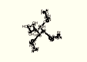 N#C[C@@H]1CC(F)(F)CN1C(=O)CNC(=O)c1ccnc2ccc(OCCCCNC(=O)N3CCN(C(=O)CN4CCN(CC(=O)O)CCN(CC(=O)O)CCN(CC(=O)O)CC4)CCN(C(=O)NCCCCOc4ccc5nccc(C(=O)NCC(=O)N6CC(F)(F)C[C@H]6C#N)c5c4)CCN(C(=O)NCCCCOc4ccc5nccc(C(=O)NCC(=O)N6CC(F)(F)C[C@H]6C#N)c5c4)CC3)cc12